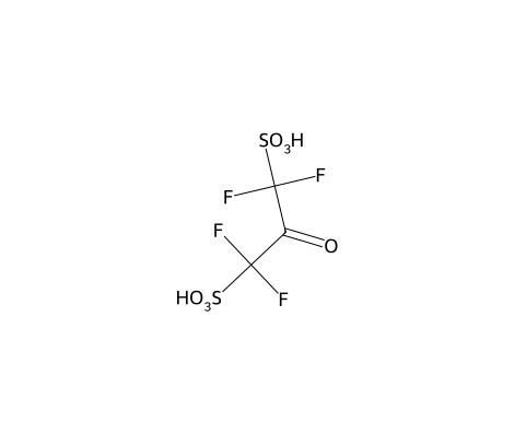 O=C(C(F)(F)S(=O)(=O)O)C(F)(F)S(=O)(=O)O